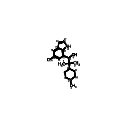 CN1CCC(C(C)(C)C(O)c2cc(Cl)cc3cn[nH]c23)CC1